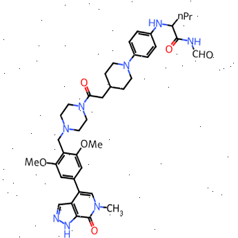 CCCC(Nc1ccc(N2CCC(CC(=O)N3CCN(Cc4c(OC)cc(-c5cn(C)c(=O)c6[nH]ncc56)cc4OC)CC3)CC2)cc1)C(=O)NC=O